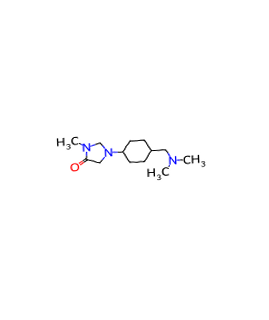 CN(C)CC1CCC(N2CC(=O)N(C)C2)CC1